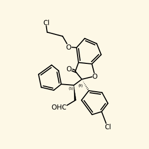 O=CC[C@@H](c1ccccc1)[C@]1(c2ccc(Cl)cc2)Oc2cccc(OCCCl)c2C1=O